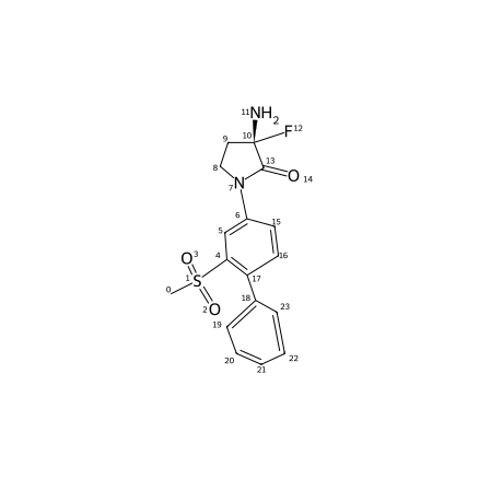 CS(=O)(=O)c1cc(N2CC[C@](N)(F)C2=O)ccc1-c1ccccc1